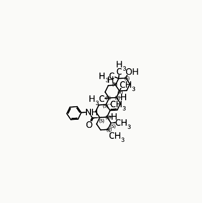 C[C@H]1[C@H](C)CC[C@]2(C(=O)Nc3ccccc3)CC[C@]3(C)C(=CC[C@@H]4[C@@]5(C)CC[C@H](O)C(C)(C)[C@@H]5CC[C@]43C)[C@H]12